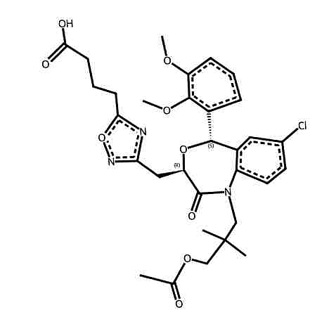 COc1cccc([C@H]2O[C@H](Cc3noc(CCCC(=O)O)n3)C(=O)N(CC(C)(C)COC(C)=O)c3ccc(Cl)cc32)c1OC